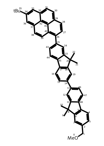 COCc1ccc2c(c1)C(C)(C)c1cc(-c3ccc4c(c3)C(C)(C)c3cc(-c5ccc6ccc7cc(C(C)(C)C)cc8ccc5c6c78)ccc3-4)ccc1-2